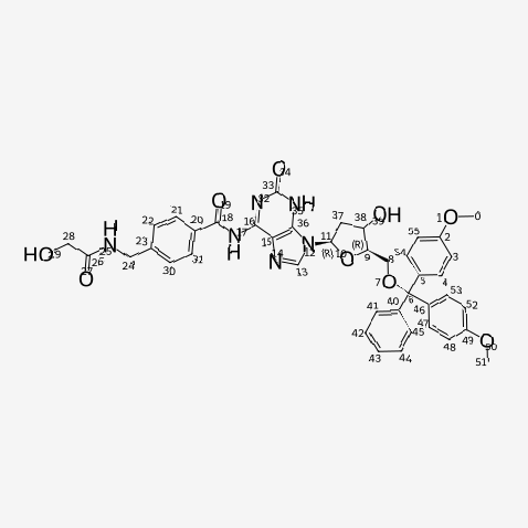 COc1ccc(C(OC[C@H]2O[C@@H](n3cnc4c(NC(=O)c5ccc(CNC(=O)CO)cc5)nc(=O)[nH]c43)CC2O)(c2ccccc2)c2ccc(OC)cc2)cc1